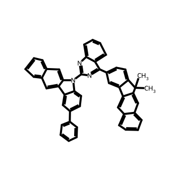 CC1(C)c2ccc(-c3nc(-n4c5ccc(-c6ccccc6)cc5c5cc6ccccc6cc54)nc4ccccc34)cc2-c2cc3ccccc3cc21